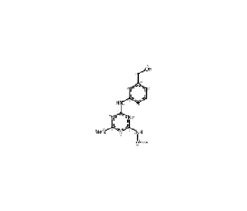 CCCCCCNc1nc(NC)nc(Nc2cccc(CO)c2)n1